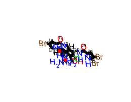 NC1=N[C@H](O)[C@@]2(N1)[C@H]1[C@H](CN3C(=O)c4cc(Br)cn4[C@H]4N=C(N)N[C@@]413)[C@H](CNC(=O)c1cc(Br)c(Br)[nH]1)[C@@H]2Cl